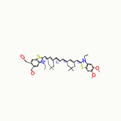 CCN1/C(=C/C2=CC(=C/C=C/C3=CC(=C/c4sc5cc(C=O)c(C=O)cc5[n+]4CC)/CC(C)(C)C3)/CC(C)(C)C2)Sc2cc(OC)c(OC)cc21